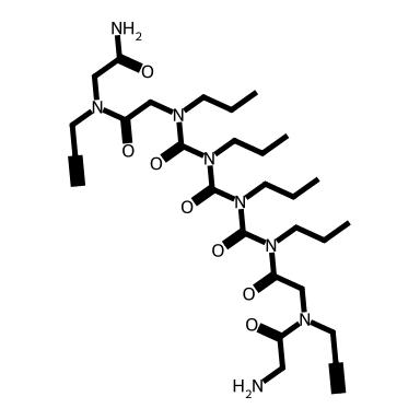 C#CCN(CC(N)=O)C(=O)CN(CCC)C(=O)N(CCC)C(=O)N(CCC)C(=O)N(CCC)C(=O)CN(CC#C)C(=O)CN